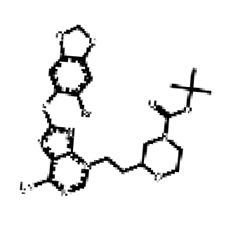 CC(C)(C)OC(=O)N1CCOC(CCn2cnc(N)c3nc(Sc4cc5c(cc4Br)OCO5)nc2-3)C1